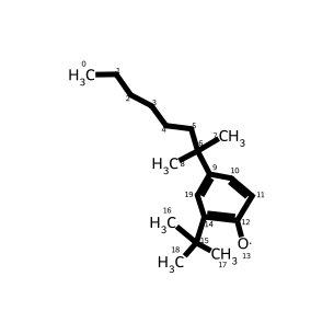 CCCCCCC(C)(C)c1ccc([O])c(C(C)(C)C)c1